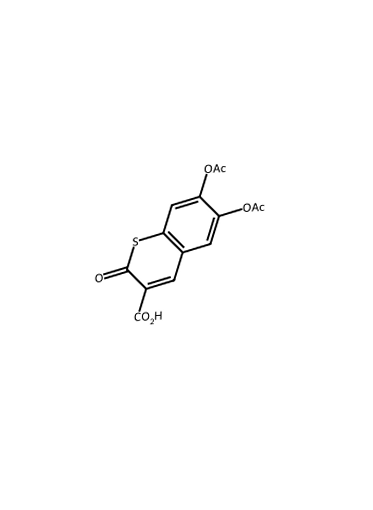 CC(=O)Oc1cc2cc(C(=O)O)c(=O)sc2cc1OC(C)=O